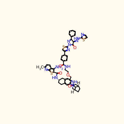 Cc1ccc2c(N)c(C(=O)N[C@H]3CCc4cc(N5C[C@H]6CC[C@@H](C5)C6C(=O)NCCOCCNC(=O)c5ccc(-c6csc(N7N=C(c8ccccc8)/C(=N\Nc8nccs8)C7=O)n6)cc5)ccc4C3)sc2n1